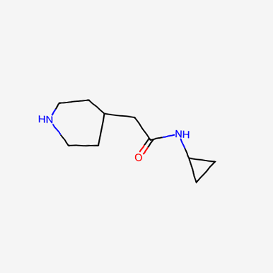 O=C(CC1CCNCC1)NC1CC1